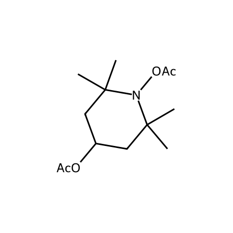 CC(=O)OC1CC(C)(C)N(OC(C)=O)C(C)(C)C1